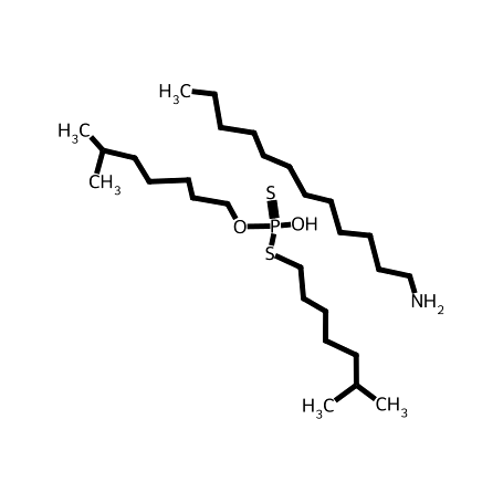 CC(C)CCCCCOP(O)(=S)SCCCCCC(C)C.CCCCCCCCCCCCN